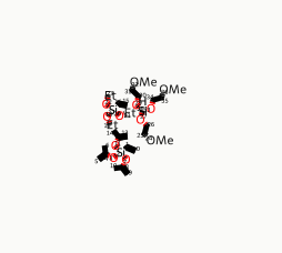 C=C[Si](OC(=C)C)(OC(=C)C)OC(=C)C.C=C[Si](OCC)(OCC)OCC.COCCO[SiH](OCCOC)OCCOC